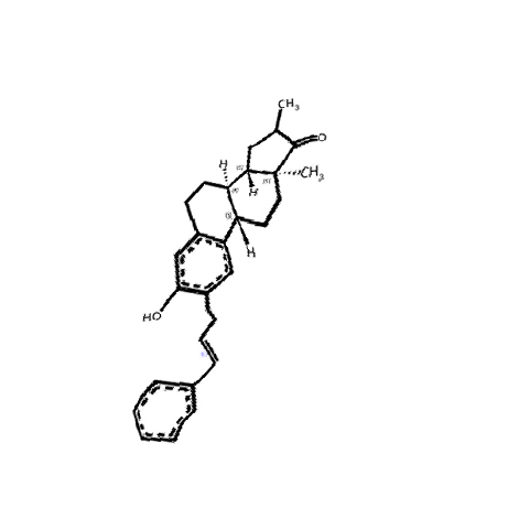 CC1C[C@H]2[C@@H]3CCc4cc(O)c(C/C=C/c5ccccc5)cc4[C@H]3CC[C@]2(C)C1=O